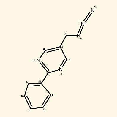 [N-]=[N+]=NCc1cnc(-c2ccccc2)nc1